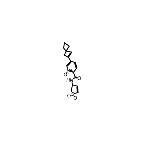 O=C(NC1C=CS(=O)(=O)C1)c1ccc(C2=CC3(CCC3)C2)c[n+]1[O-]